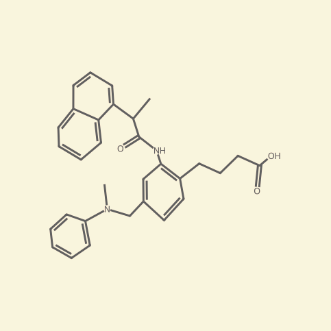 CC(C(=O)Nc1cc(CN(C)c2ccccc2)ccc1CCCC(=O)O)c1cccc2ccccc12